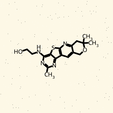 Cc1nc(NCCO)c2sc3nc4c(cc3c2n1)COC(C)(C)C4